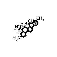 Cc1ccc2c(c1)C(C)(C)c1c-2ccc2c1C(C)(C)C(C)(C)c1cc(N)ccc1-2